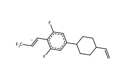 C=CC1CCC(c2cc(F)c(/C=C/C(F)(F)F)c(F)c2)CC1